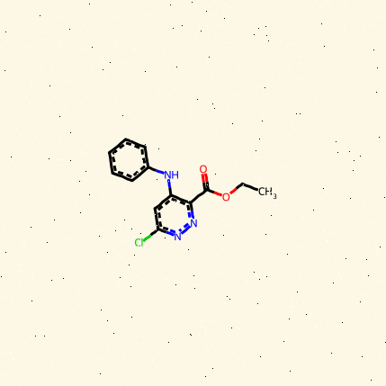 CCOC(=O)c1nnc(Cl)cc1Nc1ccccc1